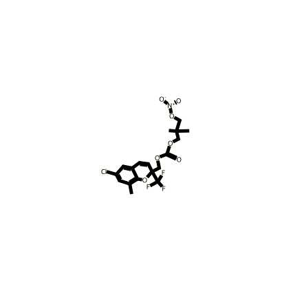 Cc1cc(Cl)cc2c1OC(COC(=O)OCC(C)(C)CO[N+](=O)[O-])(C(F)(F)F)C=C2